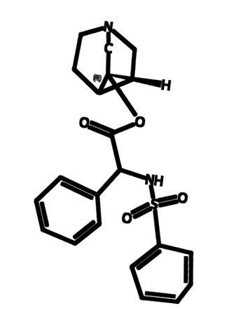 O=C(O[C@H]1CN2CCC1CC2)C(NS(=O)(=O)c1ccccc1)c1ccccc1